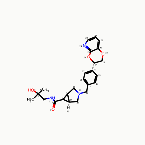 CC(C)(O)CNC(=O)C1C2CN(Cc3ccc([C@H]4COc5cccnc5O4)cc3)C[C@H]21